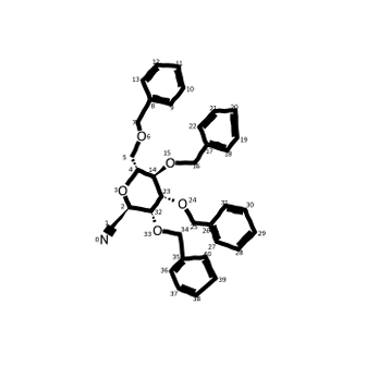 N#C[C@H]1O[C@H](COCc2ccccc2)[C@@H](OCc2ccccc2)[C@H](OCc2ccccc2)[C@@H]1OCc1ccccc1